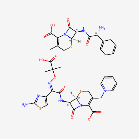 CC(C)(O/N=C(\C(=O)N[C@@H]1C(=O)N2C(C(=O)[O-])=C(C[n+]3ccccc3)CS[C@H]12)c1csc(N)n1)C(=O)O.CC1=C(C(=O)O)N2C(=O)[C@@H](NC(=O)[C@H](N)C3=CCC=CC3)[C@H]2SC1